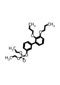 CCCOc1cccc(-c2cccc(OP(=O)(OCC)OCC)c2)c1OCCC